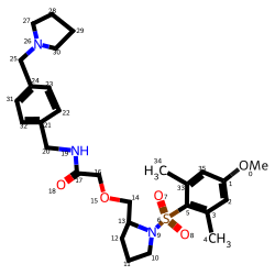 COc1cc(C)c(S(=O)(=O)N2CCCC2COCC(=O)NCc2ccc(CN3CCCC3)cc2)c(C)c1